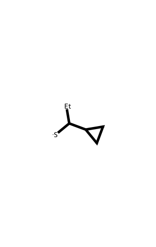 CCC([S])C1CC1